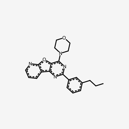 CCCc1cccc(-c2nc(N3CCOCC3)c3oc4ncccc4c3n2)c1